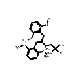 COc1cccc(OC)c1C[C](Cc1c(OC)cccc1OC)C(C)CC(C)(C)C